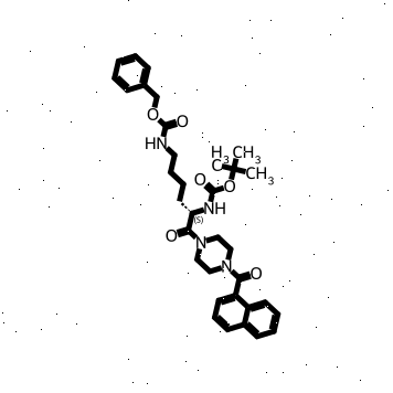 CC(C)(C)OC(=O)N[C@@H](CCCCNC(=O)OCc1ccccc1)C(=O)N1CCN(C(=O)c2cccc3ccccc23)CC1